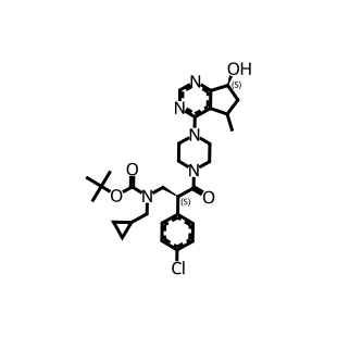 CC1C[C@H](O)c2ncnc(N3CCN(C(=O)[C@H](CN(CC4CC4)C(=O)OC(C)(C)C)c4ccc(Cl)cc4)CC3)c21